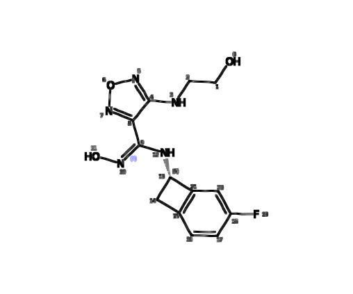 OCCNc1nonc1/C(=N\O)N[C@H]1Cc2ccc(F)cc21